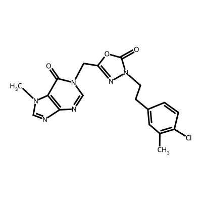 Cc1cc(CCn2nc(Cn3cnc4ncn(C)c4c3=O)oc2=O)ccc1Cl